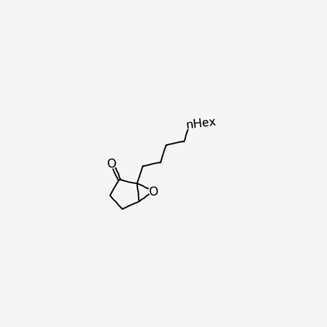 CCCCCCCCCCC12OC1CCC2=O